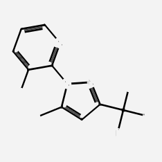 Cc1cc(C(F)(F)F)nn1-c1ncccc1I